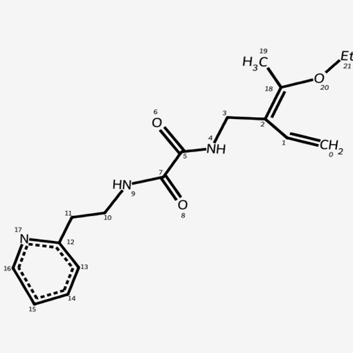 C=C/C(CNC(=O)C(=O)NCCc1ccccn1)=C(/C)OCC